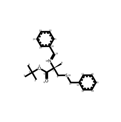 CC(C)(C)OC(=O)[C@@](C)(CSCc1ccccc1)/N=C/c1ccccc1